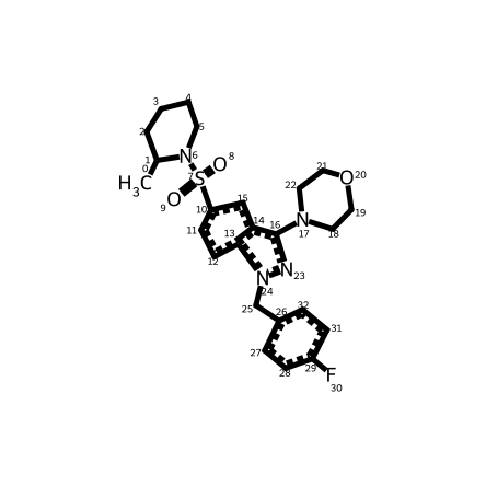 CC1CCCCN1S(=O)(=O)c1ccc2c(c1)c(N1CCOCC1)nn2Cc1ccc(F)cc1